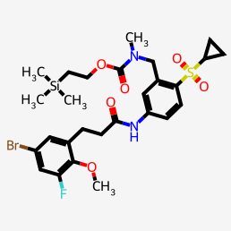 COc1c(F)cc(Br)cc1CCC(=O)Nc1ccc(S(=O)(=O)C2CC2)c(CN(C)C(=O)OCC[Si](C)(C)C)c1